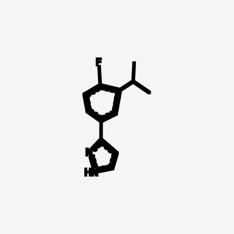 CC(C)c1cc(-c2cc[nH]n2)ccc1F